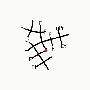 CCCC(C)(CC)C(F)(F)C1(F)C(F)(F)C(F)(F)OC1(F)C(F)(F)C(C)(C)CC